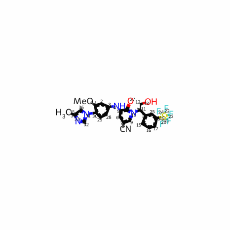 COc1cc(Nc2cc(C#N)cn([C@@H](CO)c3cccc(S(F)(F)(F)(F)F)c3)c2=O)ccc1-n1cnc(C)c1